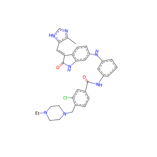 CCN1CCN(Cc2ccc(C(=O)Nc3cccc(Nc4ccc5c(c4)NC(=O)C5=Cc4[nH]cnc4C)c3)cc2Cl)CC1